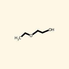 CCO[CH]CO